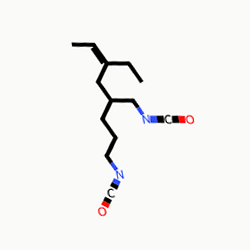 CC=C(CC)CC(CCCN=C=O)CN=C=O